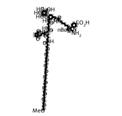 CCCCc1nc2c(N)nc3cc(C(=O)O)ccc3c2n1CCCCCNC(=O)OCc1ccc(O[C@H]2O[C@H](CO)[C@@H](O)[C@H](O)[C@@H]2O)c(NC(=O)CCNC(=O)[C@H](CCCCNC(=O)CCOCCOCCOCCOCCOCCOCCOCCOCCOCCOCCOCCOC)NC(=O)CCN2C(=O)C=CC2=O)c1